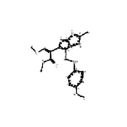 COC=C(C(=O)OC)c1sc2nc(C)nn2c1COc1ccc(OC)cc1